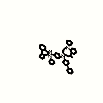 C=C1/C=C(N(c2ccc(-c3ccccc3)cc2)c2ccc(-c3nc4c5ccccc5c5ccccc5c4n3-c3ccccc3)cc2)\C=C/CN(c2ccccc2)c2ccccc21